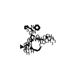 CC(C)(C)OC(=O)NN1CCCC/C=C\[C@@H]2C[C@@]2(C(=O)NS(=O)(=O)C2CC2)NC(=O)[C@@H]2C[C@@H](Oc3nc4ccccc4nc3-c3cccs3)CN2C1=O